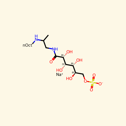 CCCCCCCCNC(C)CNC(=O)[C@H](O)[C@@H](O)[C@H](O)[C@H](O)COS(=O)(=O)[O-].[Na+]